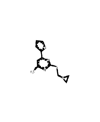 FC(F)(F)c1cc(-c2cccs2)nc(SCP2CC2)n1